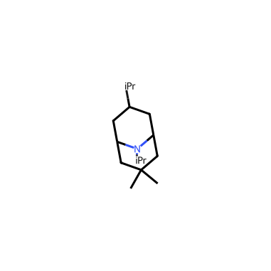 CC(C)C1CC2CC(C)(C)CC(C1)N2C(C)C